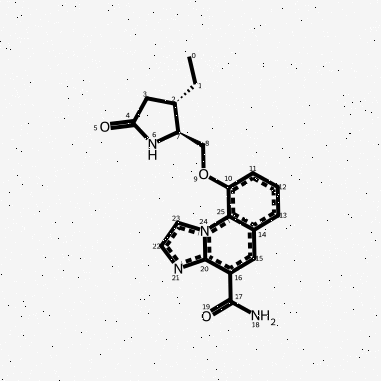 CC[C@H]1CC(=O)N[C@@H]1COc1cccc2cc(C(N)=O)c3nccn3c12